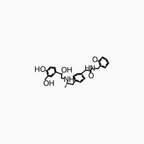 COc1ccccc1CNC(=O)Cc1ccc(C[C@@H](C)NC[C@H](O)c2ccc(O)c(CO)c2)cc1